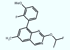 COc1cccc(-c2cc(C)cc3cnc(OC(F)F)nc23)c1F